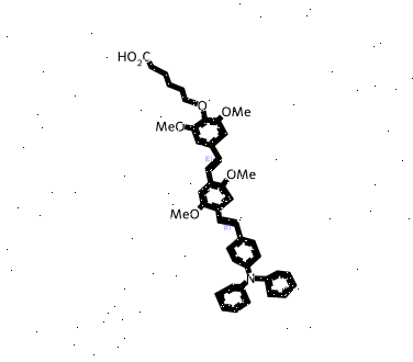 COc1cc(/C=C/c2cc(OC)c(OCCCCCC(=O)O)c(OC)c2)c(OC)cc1/C=C/c1ccc(N(c2ccccc2)c2ccccc2)cc1